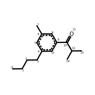 CCCCc1cc(C)cc(C(=O)C(C)C)c1